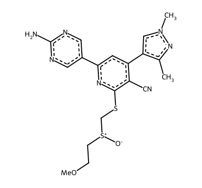 COCC[S+]([O-])CSc1nc(-c2cnc(N)nc2)cc(-c2cn(C)nc2C)c1C#N